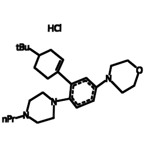 CCCN1CCN(c2ccc(N3CCOCC3)cc2C2=CCC(C(C)(C)C)CC2)CC1.Cl